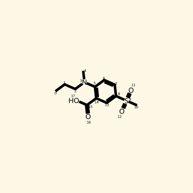 CCCN(C)c1ccc(S(C)(=O)=O)cc1C(=O)O